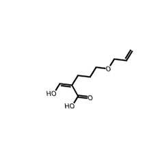 C=CCOCCCC(=CO)C(=O)O